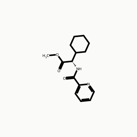 COC(=O)[C@@H](NC(=O)c1ccccn1)C1CCCCC1